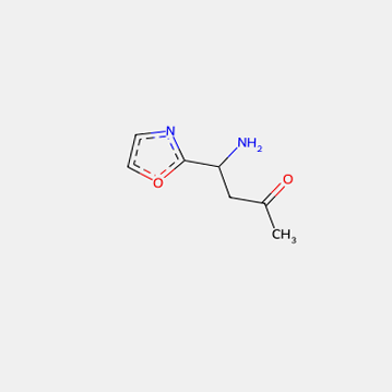 CC(=O)CC(N)c1ncco1